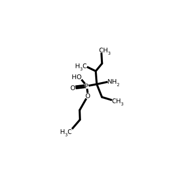 CCCOP(=O)(O)C(N)(CC)C(C)CC